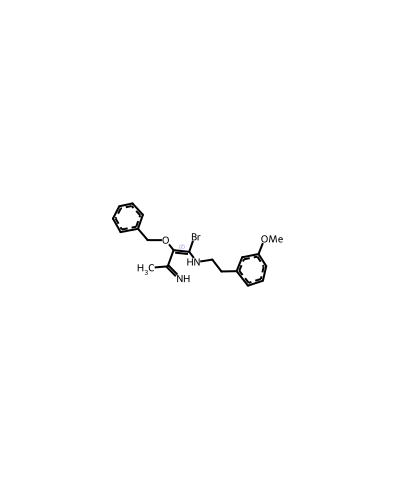 COc1cccc(CCN/C(Br)=C(/OCc2ccccc2)C(C)=N)c1